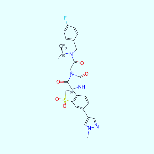 C[C@H](N(Cc1ccc(F)cc1)C(=O)CN1C(=O)N[C@]2(CS(=O)(=O)c3cc(-c4cnn(C)c4)ccc32)C1=O)C(F)(F)F